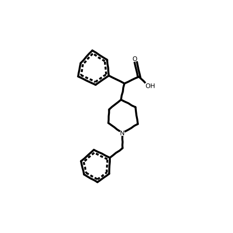 O=C(O)C(c1ccccc1)C1CCN(Cc2ccccc2)CC1